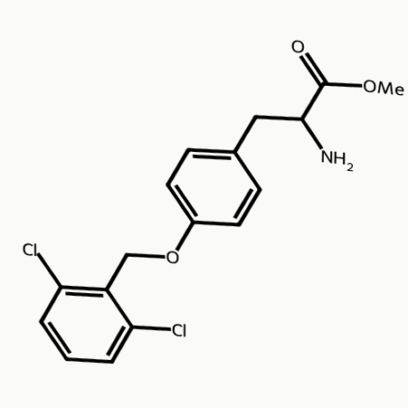 COC(=O)C(N)Cc1ccc(OCc2c(Cl)cccc2Cl)cc1